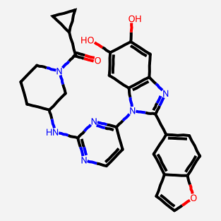 O=C(C1CC1)N1CCCC(Nc2nccc(-n3c(-c4ccc5occc5c4)nc4cc(O)c(O)cc43)n2)C1